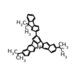 CC(C)c1ccc2cc3c(cc2c1)c1cc(-c2ccc4c(c2)C(C)(C)c2ccccc2-4)cc2c4cc5cc(C(C)C)ccc5cc4n3c12